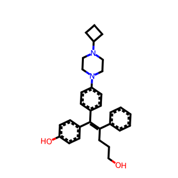 OCCC/C(=C(\c1ccc(O)cc1)c1ccc(N2CCN(C3CCC3)CC2)cc1)c1ccccc1